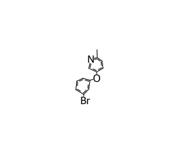 Cc1ccc(Oc2cccc(Br)c2)cn1